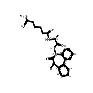 COC(=O)CCCCC(=O)N[C@@H](C)C(=O)NN1C(=O)C(C)c2ccccc2-c2ccccc21